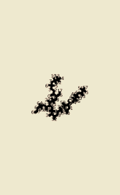 C=C(CCC(C)(C)CC(C)(C)C(C)(C)C)C(CC)CC(C)(C)C(C)C(CC(C)(C)C(C)C(=C)CCC(C)(C)N1C(=C)CC(SCC(C)(C)C(C)(C)CC(=C)C(C)(C)C)C1=C)C(=C)CC(C)(C)CCC